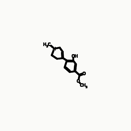 COC(=O)c1ccc(C2=CCN(C)CC2)c(O)c1